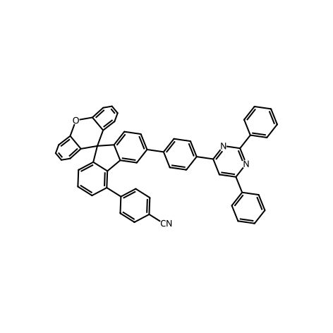 N#Cc1ccc(-c2cccc3c2-c2cc(-c4ccc(-c5cc(-c6ccccc6)nc(-c6ccccc6)n5)cc4)ccc2C32c3ccccc3Oc3ccccc32)cc1